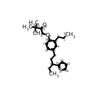 CCCc1cc(CCC(CC)c2cccs2)ccc1OCC(=O)C(C)(C)C